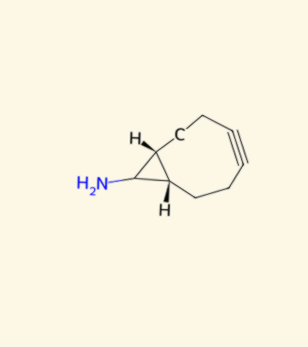 NC1[C@H]2CCC#CCC[C@@H]12